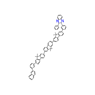 CC1(C)c2cc(-c3cccc(-c4ccc5ccccc5c4)c3)ccc2-c2ccc(-c3ccc4c(c3)C(C)(C)c3cc(-c5ccc6c(c5)C(C)(C)c5cc(-c7cccc(-c8nc9ccccc9nc8-c8ccccc8)c7)ccc5-6)ccc3-4)cc21